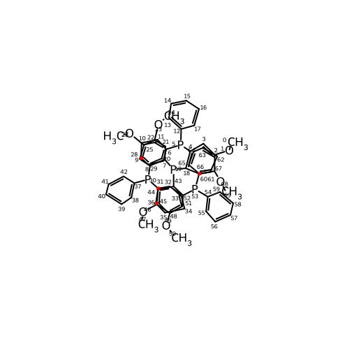 COc1cc(P(c2ccccc2)c2ccccc2)c(P(c2cc(OC)c(OC)cc2P(c2ccccc2)c2ccccc2)c2cc(OC)c(OC)cc2P(c2ccccc2)c2ccccc2)cc1OC